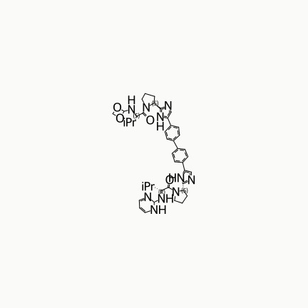 CC(C)[C@H](NC1OCO1)C(=O)N1CCC[C@H]1c1ncc(-c2ccc(-c3ccc(-c4cnc([C@@H]5CCCN5C(=O)[C@H](NC5N=CC=CN5)C(C)C)[nH]4)cc3)cc2)[nH]1